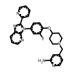 Nc1cc(CN2CCC(Oc3ccc(-n4c(-c5ccccn5)nc5cccnc54)cc3F)CC2)ccn1